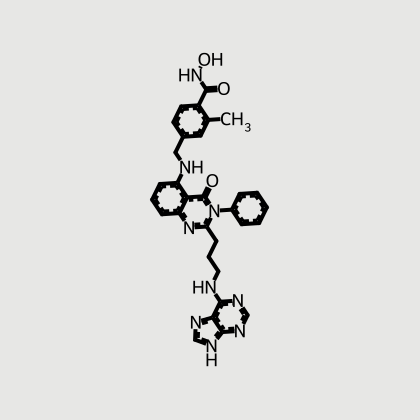 Cc1cc(CNc2cccc3nc(CCCNc4ncnc5[nH]cnc45)n(-c4ccccc4)c(=O)c23)ccc1C(=O)NO